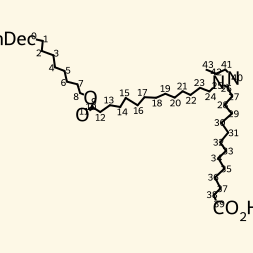 CCCCCCCCCCCCCCCCCCOC(=O)CCCCCCCCCCCCCN1C(CCCCCCCCCCCCC(=O)O)=NCC1C